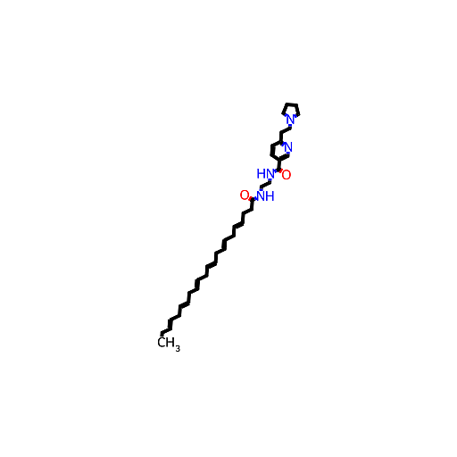 CCC=CCC=CCC=CCC=CCC=CCC=CCCC(=O)NCCNC(=O)c1ccc(CCN2CCCC2)nc1